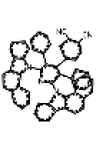 N#Cc1ccc(-c2c(-c3ccccc3)c(-n3c4ccccc4c4ccc5ccccc5c43)nc(-n3c4ccccc4c4ccc5ccccc5c43)c2-c2ccccc2)cc1C#N